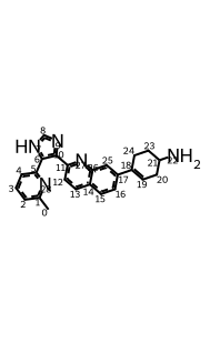 Cc1cccc(-c2[nH]cnc2-c2ccc3ccc(C4=CCC(N)CC4)cc3n2)n1